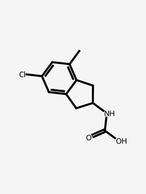 Cc1cc(Cl)cc2c1CC(NC(=O)O)C2